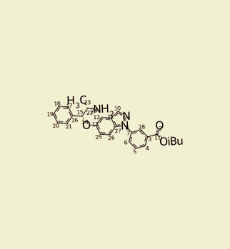 CC(C)COC(=O)c1cccc(-n2ncc3cc(O[C@H](c4ccccc4)[C@H](C)N)ccc32)c1